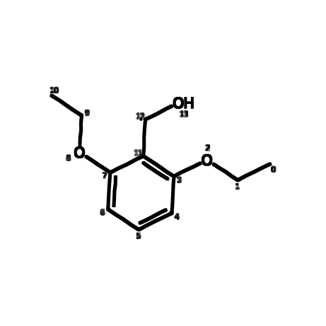 CCOc1cccc(OCC)c1[CH]O